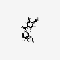 CC1(F)CCN(C(=O)c2ccc(C#N)c(Br)c2)CC1